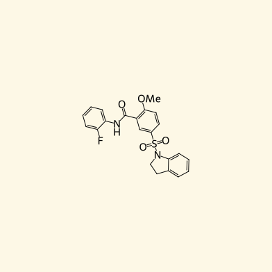 COc1ccc(S(=O)(=O)N2CCc3ccccc32)cc1C(=O)Nc1ccccc1F